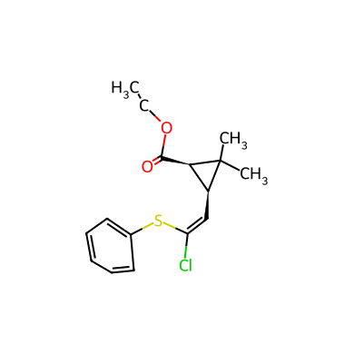 CCOC(=O)[C@@H]1[C@H](/C=C(/Cl)Sc2ccccc2)C1(C)C